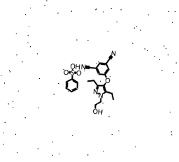 CCc1nn(CCO)c(CC)c1Oc1cc(C#N)cc(C#N)c1.O=S(=O)(O)c1ccccc1